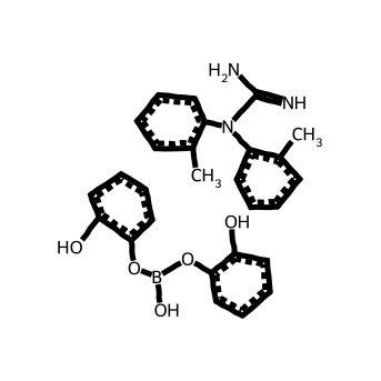 Cc1ccccc1N(C(=N)N)c1ccccc1C.OB(Oc1ccccc1O)Oc1ccccc1O